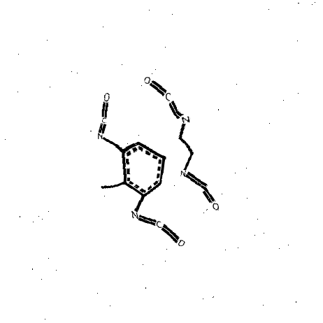 Cc1c(N=C=O)cccc1N=C=O.O=C=NCCN=C=O